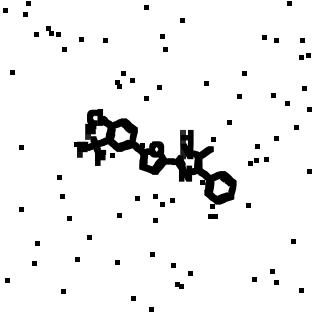 Cc1[nH]c(-c2ccc(-c3ccc(Cl)c(C(F)(F)F)c3)o2)nc1-c1ccccc1